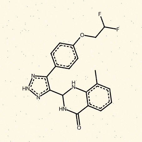 Cc1cccc2c1NC(c1n[nH]nc1-c1ccc(OCC(F)F)cc1)NC2=O